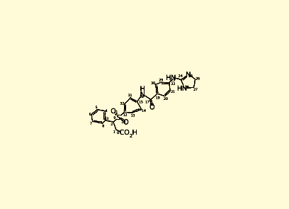 O=C(O)CC(c1ccccc1)S(=O)(=O)c1ccc(NC(=O)c2ccc(NC3=NCCN3)cc2)cc1